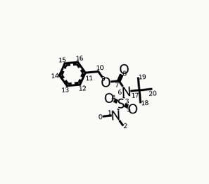 CN(C)S(=O)(=O)N(C(=O)OCc1ccccc1)C(C)(C)C